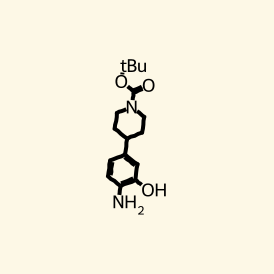 CC(C)(C)OC(=O)N1CCC(c2ccc(N)c(O)c2)CC1